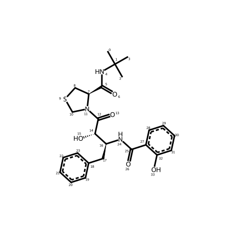 CC(C)(C)NC(=O)[C@@H]1CSCN1C(=O)[C@@H](O)[C@H](Cc1ccccc1)NC(=O)c1ccccc1O